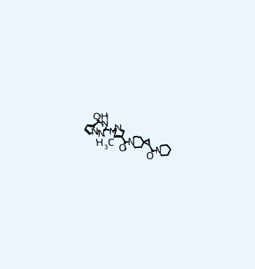 Cc1c(C(=O)N2CCC3(CC2)CC3C(=O)N2CCCCC2)cnn1-c1nn2cccc2c(=O)[nH]1